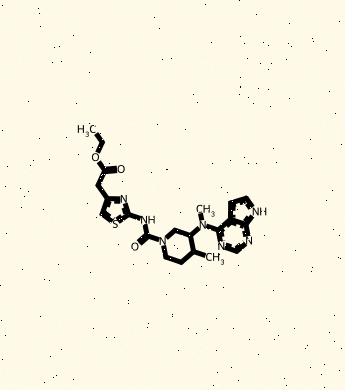 CCOC(=O)Cc1csc(NC(=O)N2CCC(C)C(N(C)c3ncnc4[nH]ccc34)C2)n1